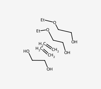 C=C.C=C.CCOCCO.CCOCCO.OCCO